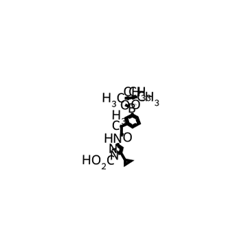 CC(C(=O)Nc1cc(C2CC2)n(C(=O)O)n1)c1cccc(B2OC(C)(C)C(C)(C)O2)c1